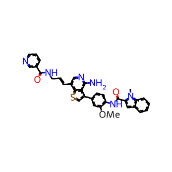 COc1cc(-c2csc3c(C=CCNC(=O)c4cccnc4)cnc(N)c23)ccc1NC(=O)c1cc2ccccc2n1C